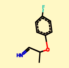 CC(C=N)Oc1ccc(F)cc1